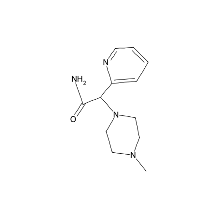 CN1CCN(C(C(N)=O)c2ccccn2)CC1